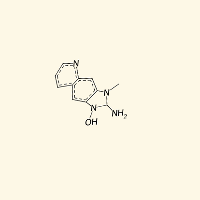 CN1c2cc3ncccc3cc2N(O)C1N